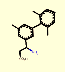 Cc1cc(-c2c(C)cccc2C)cc(C(N)CC(=O)O)c1